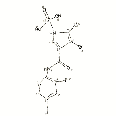 Cc1ccc(NC(=O)c2nn(P(=O)(O)O)c(Cl)c2Br)c(F)c1